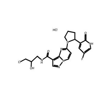 Cl.O=C(NCC(O)CCl)c1cnn2ccc(N3CCCC3c3cc(F)c[nH]c3=O)nc12